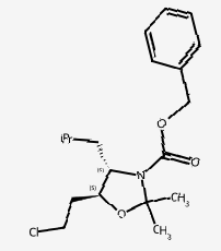 CC(C)C[C@H]1[C@H](CCCl)OC(C)(C)N1C(=O)OCc1ccccc1